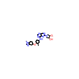 CO[C@@H]1CN(c2ncc3ncnc(Nc4ccc(Oc5ccc6c(c5)ncn6C)c(C)c4)c3n2)C[C@@H]1O